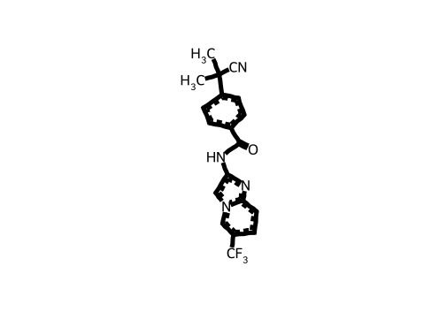 CC(C)(C#N)c1ccc(C(=O)Nc2cn3cc(C(F)(F)F)ccc3n2)cc1